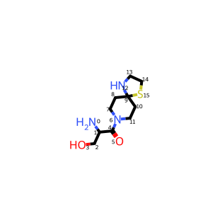 NC(CO)C(=O)N1CCC2(CC1)NCCS2